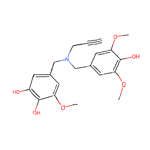 C#CCN(Cc1cc(O)c(O)c(OC)c1)Cc1cc(OC)c(O)c(OC)c1